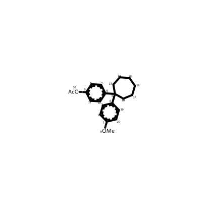 COc1ccc(C2(c3ccc(OC(C)=O)cc3)CCCCCC2)cc1